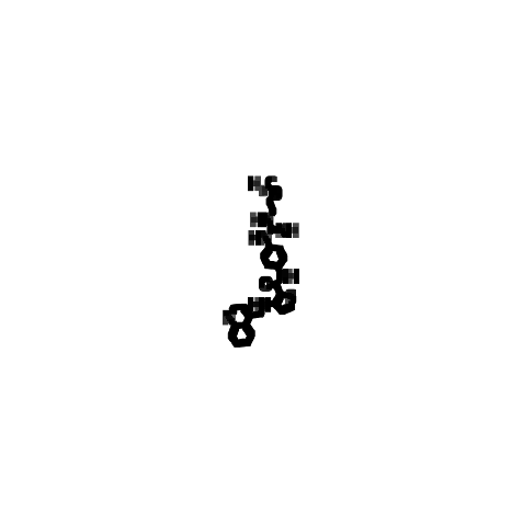 COCCNC(=N)Nc1ccc(NC(=O)c2sccc2NCc2ccnc3ccccc23)cc1